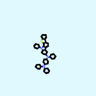 c1ccc(N(c2ccccc2)c2ccc(N(c3ccccc3)c3ccc4c(c3)c3ccc5c6ccccc6sc5c3n4-c3ccccc3)cc2)cc1